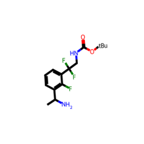 CC(N)c1cccc(C(F)(F)CNC(=O)OC(C)(C)C)c1F